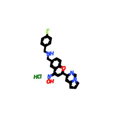 Cl.ON=c1cc(-c2cc3cccn3cn2)oc2ccc(CNCc3ccc(F)cc3)cc12